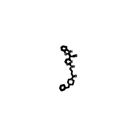 N#CC(=C1Nc2ccccc2O1)c1ccnc(NCCCC(=O)N2CCN(Cc3ccccc3)CC2)n1